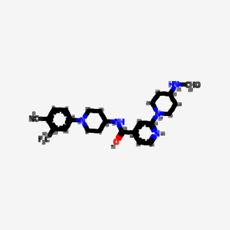 N#Cc1ccc(N2CCC(NC(=O)c3ccnc(N4CCC(NC=O)CC4)c3)CC2)cc1C(F)(F)F